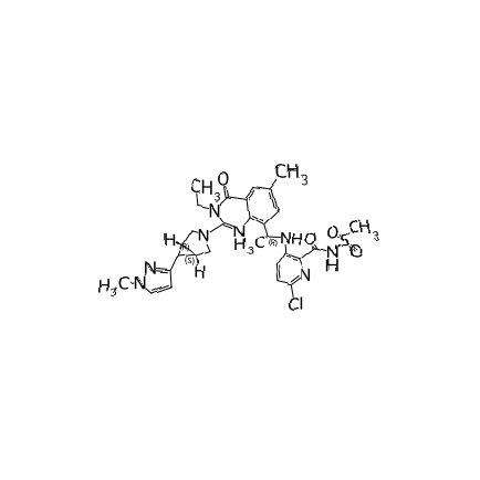 CCn1c(N2C[C@@H]3C(c4ccn(C)n4)[C@@H]3C2)nc2c([C@@H](C)Nc3ccc(Cl)nc3C(=O)NS(C)(=O)=O)cc(C)cc2c1=O